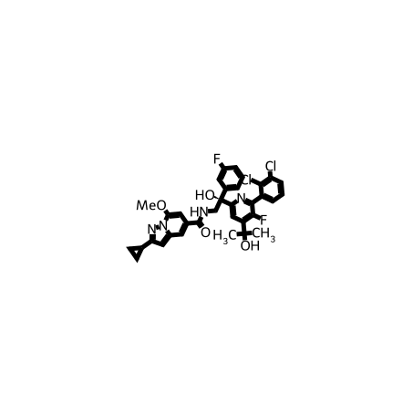 COc1cc(C(=O)NC[C@@](O)(c2cccc(F)c2)c2cc(C(C)(C)O)c(F)c(-c3cccc(Cl)c3Cl)n2)cc2cc(C3CC3)nn12